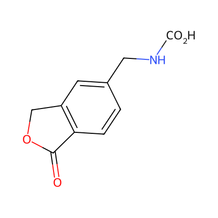 O=C(O)NCc1ccc2c(c1)COC2=O